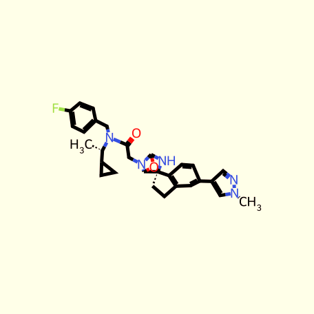 C[C@@H](C1CC1)N(Cc1ccc(F)cc1)C(=O)CN1C2N[C@]3(CCc4cc(-c5cnn(C)c5)ccc43)C1O2